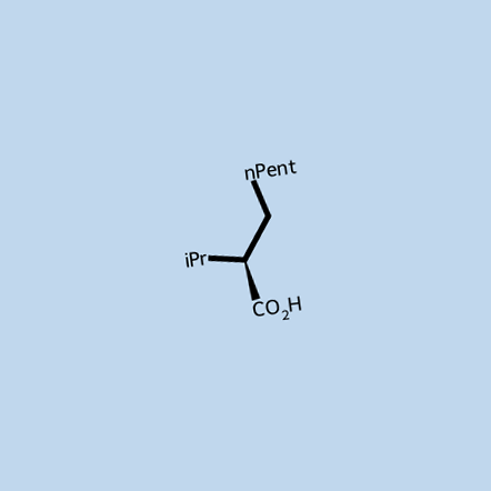 CCCCCC[C@@H](C(=O)O)C(C)C